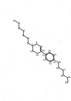 CCCCCCCC1CC=C(c2ccc(CCCCCC)cc2)CC1